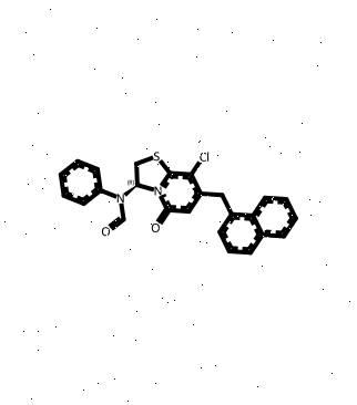 O=CN(c1ccccc1)[C@H]1CSc2c(Cl)c(Cc3cccc4ccccc34)cc(=O)n21